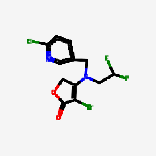 O=C1OCC(N(Cc2ccc(Cl)nc2)CC(F)F)=C1Br